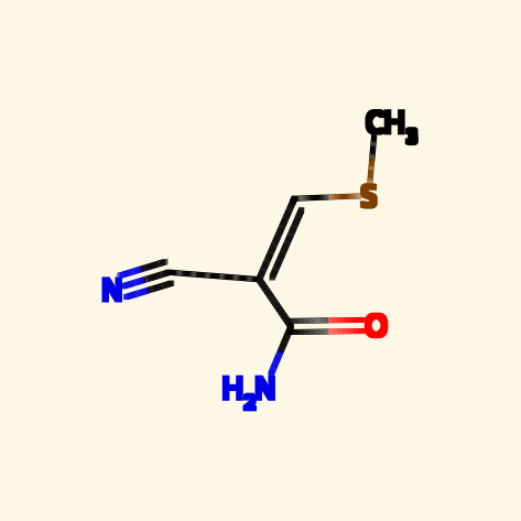 CSC=C(C#N)C(N)=O